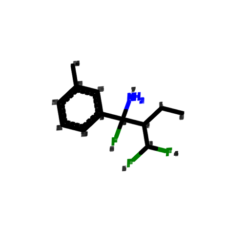 CCC(C(F)F)C(N)(F)c1cccc(C)c1